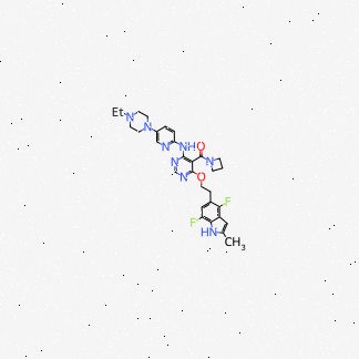 CCN1CCN(c2ccc(Nc3ncnc(OCCc4cc(F)c5[nH]c(C)cc5c4F)c3C(=O)N3CCC3)nc2)CC1